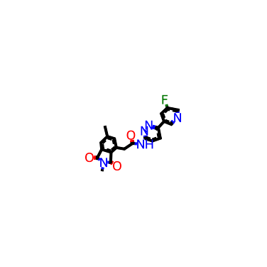 Cc1cc(CC(=O)Nc2ccc(-c3cncc(F)c3)nn2)c2c(c1)C(=O)N(C)C2=O